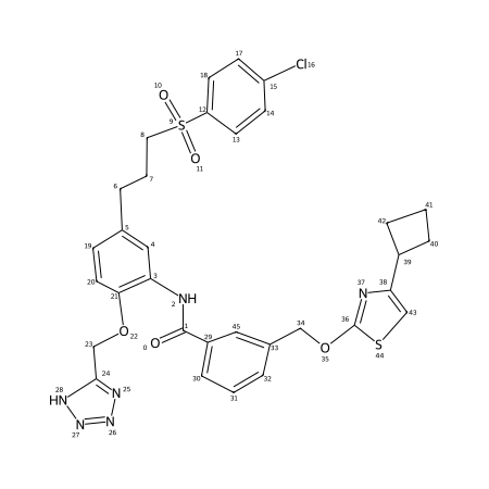 O=C(Nc1cc(CCCS(=O)(=O)c2ccc(Cl)cc2)ccc1OCc1nnn[nH]1)c1cccc(COc2nc(C3CCC3)cs2)c1